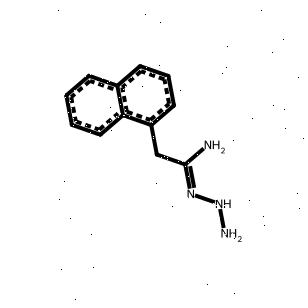 NN/N=C(\N)Cc1cccc2ccccc12